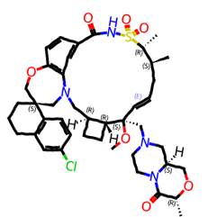 CO[C@]1(CN2CCN3C(=O)[C@@H](C)OC[C@@H]3C2)/C=C/C[C@H](C)[C@@H](C)S(=O)(=O)NC(=O)c2ccc3c(c2)N(C[C@@H]2CC[C@H]21)C[C@@]1(CCCc2cc(Cl)ccc21)CO3